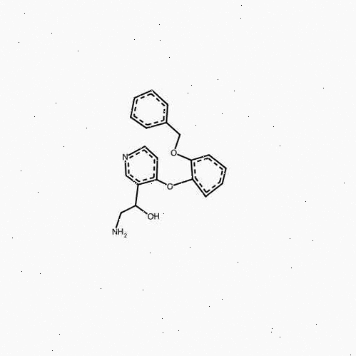 NCC(O)c1cnccc1Oc1ccccc1OCc1ccccc1